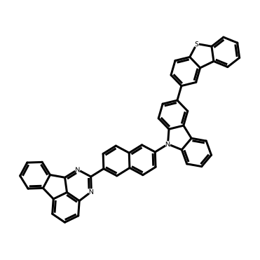 c1ccc2c(c1)-c1cccc3nc(-c4ccc5cc(-n6c7ccccc7c7cc(-c8ccc9sc%10ccccc%10c9c8)ccc76)ccc5c4)nc-2c13